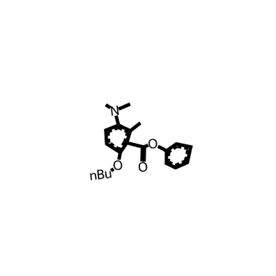 CCCCOc1ccc(N(C)C)c(C)c1C(=O)Oc1ccccc1